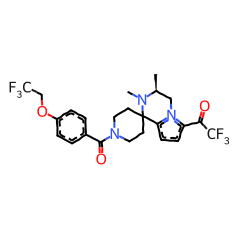 C[C@H]1Cn2c(C(=O)C(F)(F)F)ccc2C2(CCN(C(=O)c3ccc(OCC(F)(F)F)cc3)CC2)N1C